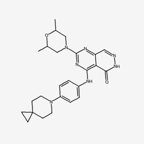 CC1CN(c2nc(Nc3ccc(N4CCC5(CC4)CC5)cc3)c3c(=O)[nH]ncc3n2)CC(C)O1